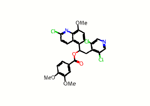 COc1ccc(C(=O)OC(Cc2c(Cl)cncc2Cl)c2ccc(OC)c3nc(Cl)ccc23)cc1OC